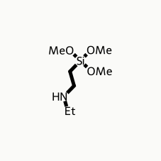 CCNCC[Si](OC)(OC)OC